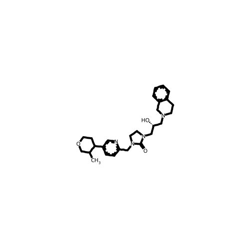 CC1COCCC1c1ccc(CN2CCN(C[C@H](O)CN3CCc4ccccc4C3)C2=O)nc1